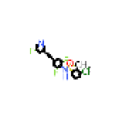 Cc1c(Cl)cccc1[S+]([O-])Nc1c(F)cc(C#Cc2cncc(F)c2)cc1F